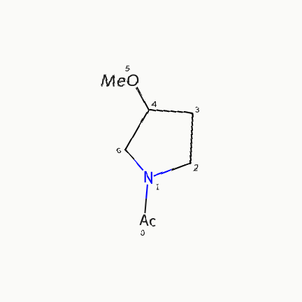 [CH2]C(=O)N1CCC(OC)C1